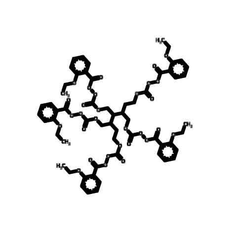 CCOc1ccccc1C(=O)OOC(=O)OCCC(COC(=O)OOC(=O)c1ccccc1OCC)C(COC(=O)OOC(=O)c1ccccc1OCC)C(CCOC(=O)OOC(=O)c1ccccc1OCC)COC(=O)OOC(=O)c1ccccc1OCC